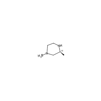 BN1CCN[C@@H](C)C1